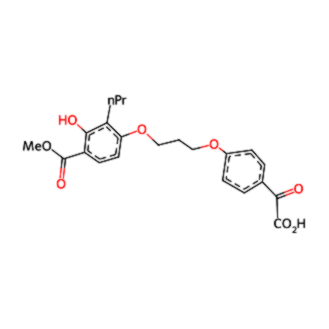 CCCc1c(OCCCOc2ccc(C(=O)C(=O)O)cc2)ccc(C(=O)OC)c1O